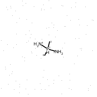 C[PH](C)(N)N